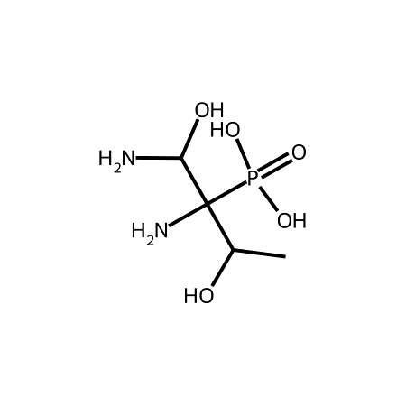 CC(O)C(N)(C(N)O)P(=O)(O)O